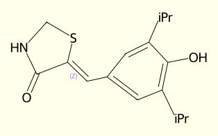 CC(C)c1cc(/C=C2\SCNC2=O)cc(C(C)C)c1O